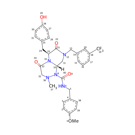 COc1ccc(CNC(=O)N2[C@H]3CN(Cc4cccc(C(F)(F)F)c4)C(=O)[C@H](Cc4ccc(O)cc4)N3C(=O)CN2C)cc1